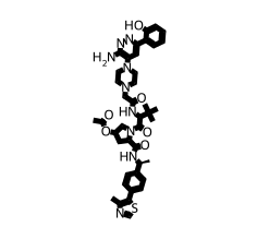 CC(=O)OC1CC(C(=O)N[C@@H](C)c2ccc(-c3scnc3C)cc2)N(C(=O)C(NC(=O)CN2CCN(c3cc(-c4ccccc4O)nnc3N)CC2)C(C)(C)C)C1